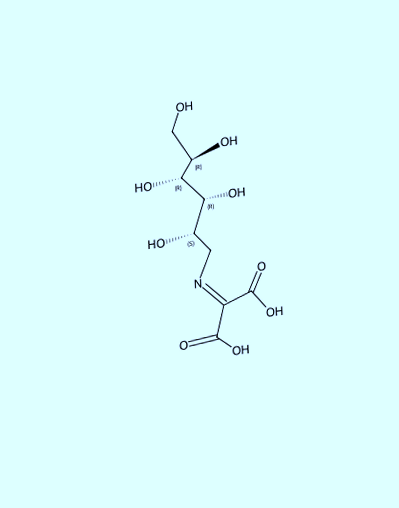 O=C(O)C(=NC[C@H](O)[C@@H](O)[C@H](O)[C@H](O)CO)C(=O)O